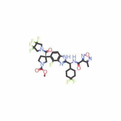 COC(=O)N1CC[C@](C(=O)N2CC(F)(F)C(F)(F)C2)(c2ccc3[nH]c([C@@H](NC(=O)c4nonc4C)C4CCC(F)(F)CC4)nc3c2F)C1